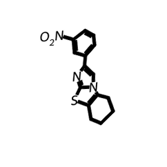 O=[N+]([O-])c1cccc(-c2cn3c4c(sc3n2)CCCC4)c1